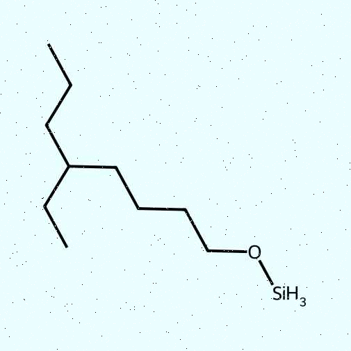 CCCC(CC)CCCCO[SiH3]